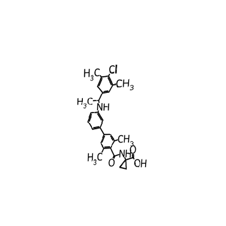 Cc1cc(C(C)Nc2cccc(-c3cc(C)c(C(=O)NC4(C(=O)O)CC4)c(C)c3)c2)cc(C)c1Cl